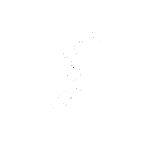 CC(C)COc1cc(N2CCN(C(=O)c3ccc(C(F)(F)F)cc3O)CC2)ncn1